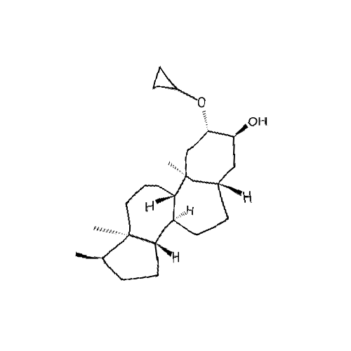 C[C@@H]1CC[C@H]2[C@@H]3CC[C@H]4C[C@H](O)[C@@H](OC5CC5)C[C@]4(C)[C@H]3CC[C@]12C